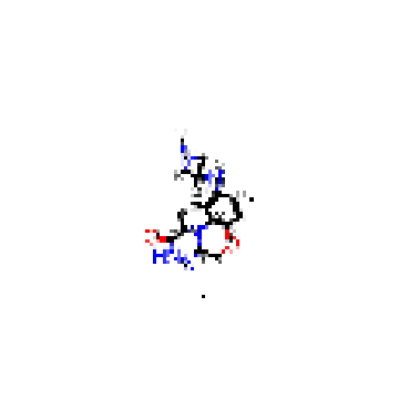 CC1C(=O)NN=C2COc3ccc(N(C)C4(C)CN(C)C4)cc3N21